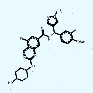 COc1ccc([C@H](NC(=O)c2cc(F)c3cnc(NC4CCC(O)CC4)nc3c2)c2cnn(C)c2)cc1F